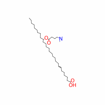 CCCCCCCCCC(CCCCCCCCCCC=CCCCCCC(=O)O)OC(=O)CCCN(C)C